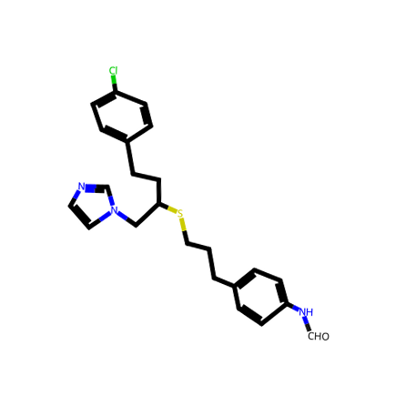 O=CNc1ccc(CCCSC(CCc2ccc(Cl)cc2)Cn2ccnc2)cc1